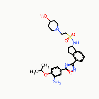 CC(C)Oc1ccc(-c2nc(-c3cccc4c3CC[C@@H]4NS(=O)(=O)CCN3CCC(O)CC3)no2)cc1N